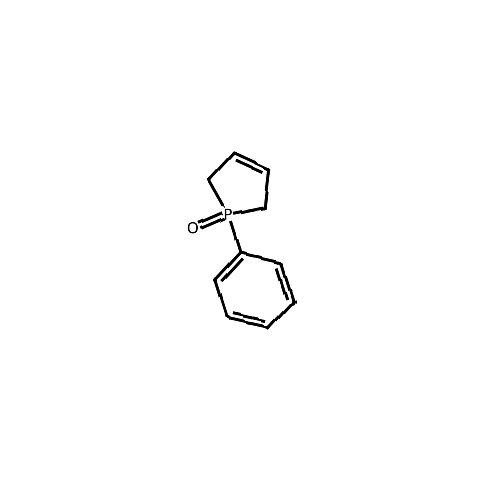 O=P1(c2ccccc2)CC=CC1